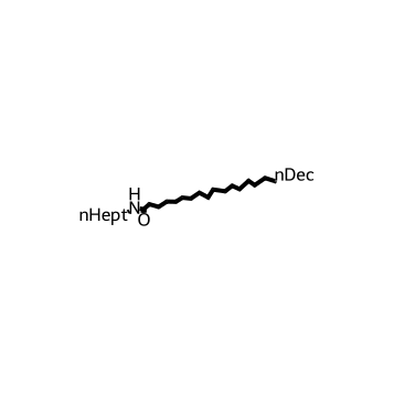 CCCCCCCCCCCCCCCCCCCCCCCCCCC(=O)NCCCCCCC